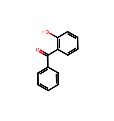 O=C(c1ccccc1)c1[c]cccc1O